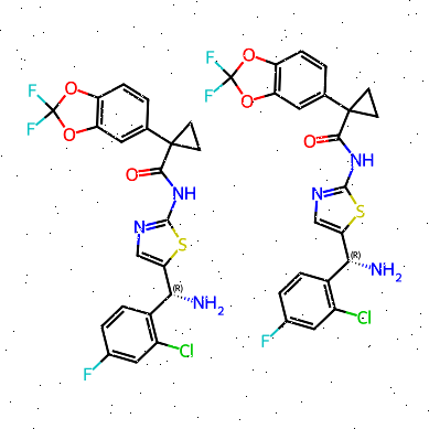 N[C@@H](c1cnc(NC(=O)C2(c3ccc4c(c3)OC(F)(F)O4)CC2)s1)c1ccc(F)cc1Cl.N[C@@H](c1cnc(NC(=O)C2(c3ccc4c(c3)OC(F)(F)O4)CC2)s1)c1ccc(F)cc1Cl